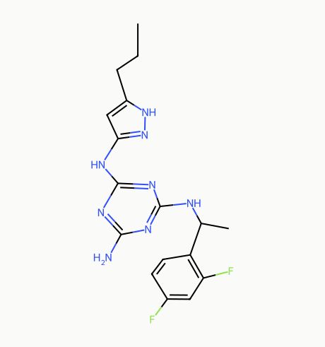 CCCc1cc(Nc2nc(N)nc(NC(C)c3ccc(F)cc3F)n2)n[nH]1